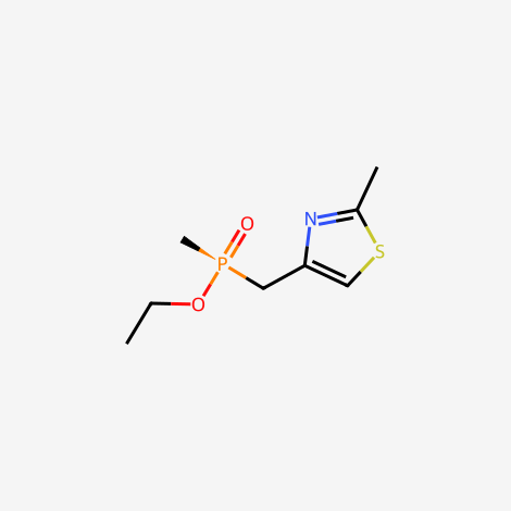 CCO[P@](C)(=O)Cc1csc(C)n1